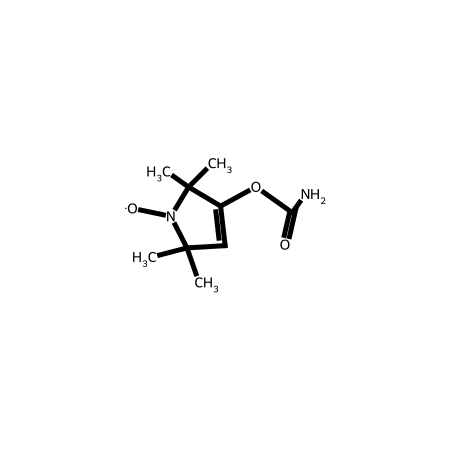 CC1(C)C=C(OC(N)=O)C(C)(C)N1[O]